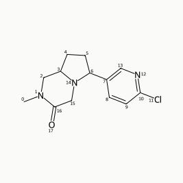 CN1CC2CCC(c3ccc(Cl)nc3)N2CC1=O